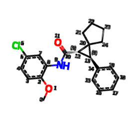 COc1ccc(Cl)cc1NC(=O)[C@H]1[C@H](c2ccccc2)C12CCCC2